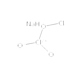 [NaH].[O-][Cl+2]([O-])OCl